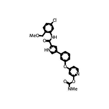 CNC(=O)Oc1cc(Oc2cccc(-c3c[nH]c(C(=O)Nc4cc(Cl)ccc4COC)c3)c2)ccn1